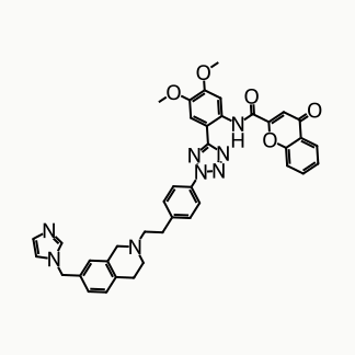 COc1cc(NC(=O)c2cc(=O)c3ccccc3o2)c(-c2nnn(-c3ccc(CCN4CCc5ccc(Cn6ccnc6)cc5C4)cc3)n2)cc1OC